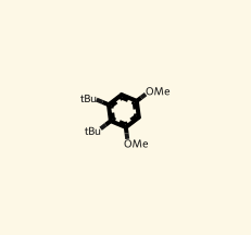 COc1cc(OC)c(C(C)(C)C)c(C(C)(C)C)c1